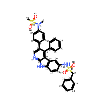 CN(c1ccc(-c2cnc3[nH]c4ccc(NS(=O)(=O)Cc5ccccc5)cc4c3c2-c2ccccc2)cc1)S(C)(=O)=O